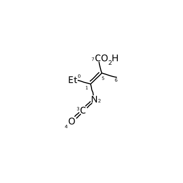 CC/C(N=C=O)=C(/C)C(=O)O